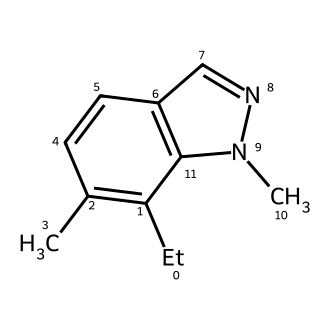 CCc1c(C)ccc2cnn(C)c12